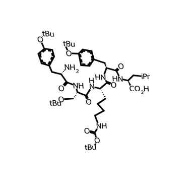 CC(C)C[C@H](NC(=O)[C@H](Cc1ccc(OC(C)(C)C)cc1)NC(=O)[C@H](CCCCNC(=O)OC(C)(C)C)NC(=O)[C@H](COC(C)(C)C)NC(=O)[C@@H](N)Cc1ccc(OC(C)(C)C)cc1)C(=O)O